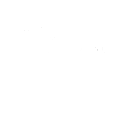 CC(=O)OC1Cc2ccc(F)cc2C1=CC(N)=O